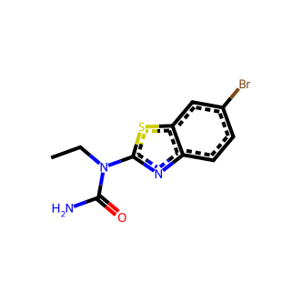 CCN(C(N)=O)c1nc2ccc(Br)cc2s1